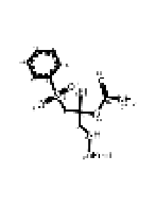 CCCCCNCC(CC)(CS(=O)(=O)c1ccccc1)OC(N)=O